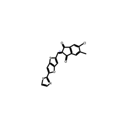 Cc1cc2c(cc1Cl)C(=O)/C(=C/c1cc3oc(-c4nccs4)cc3s1)C2=O